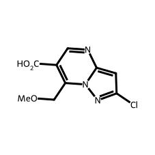 COCc1c(C(=O)O)cnc2cc(Cl)nn12